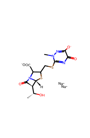 C[C@@H](O)[C@H]1C(=O)N2C(C(=O)[O-])C(CSc3nc(=O)c([O-])nn3C)S[C@H]12.[Na+].[Na+]